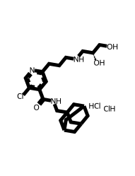 Cl.Cl.O=C(NCC12CC3CC(CC(C3)C1)C2)c1cc(CCCNC[C@@H](O)CO)ncc1Cl